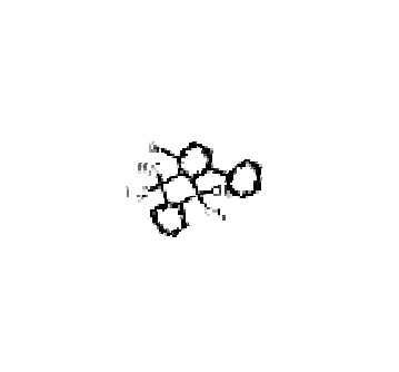 CC1(C)c2ccccc2C(C)(C)c2c(-c3ccccc3)ccc(Br)c21